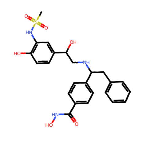 CS(=O)(=O)Nc1cc(C(O)CNC(Cc2ccccc2)c2ccc(C(=O)NO)cc2)ccc1O